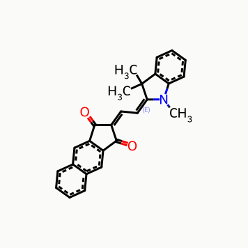 CN1/C(=C/C=C2C(=O)c3cc4ccccc4cc3C2=O)C(C)(C)c2ccccc21